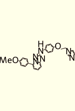 COc1ccc(-c2cccc3nc(Nc4ccc(OCCn5ccnc5)cc4)nn23)cc1